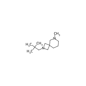 CN1CCCC2(C1)CN(CC(C)(C)C)C2